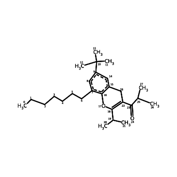 CCCCCCCc1cc(C(C)(C)C)cc2c1OC(C(C)C)=C(C(=O)C(C)C)C2